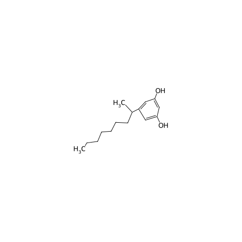 CCCCCCCC(C)c1cc(O)cc(O)c1